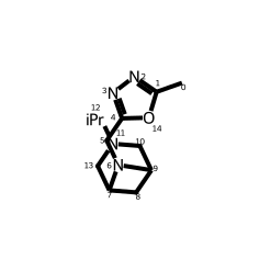 Cc1nnc(CN2C3CC2CN(C(C)C)C3)o1